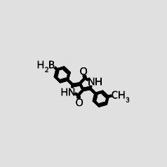 Bc1ccc(C2=C3C(=O)NC(c4cccc(C)c4)=C3C(=O)N2)cc1